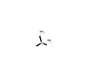 Br.N.[CH3][Ag]([CH3])[CH3]